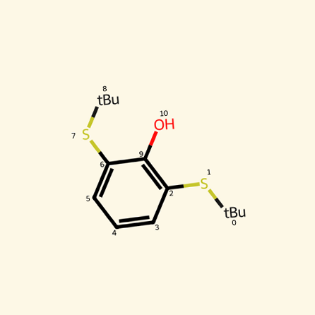 CC(C)(C)Sc1cccc(SC(C)(C)C)c1O